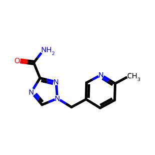 Cc1ccc(Cn2cnc(C(N)=O)n2)cn1